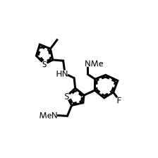 CNCc1cc(-c2cc(F)ccc2CNC)c(CNCc2sccc2C)s1